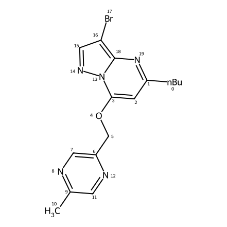 CCCCc1cc(OCc2cnc(C)cn2)n2ncc(Br)c2n1